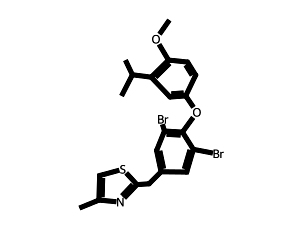 COc1ccc(Oc2c(Br)cc(Cc3nc(C)cs3)cc2Br)cc1C(C)C